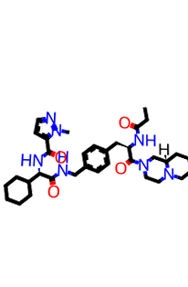 CCC(=O)N[C@H](Cc1ccc(CNC(=O)[C@@H](NC(=O)c2ccnn2C)C2CCCCC2)cc1)C(=O)N1CCN2CCCC[C@@H]2C1